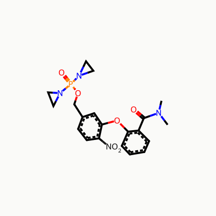 CN(C)C(=O)c1ccccc1Oc1cc(COP(=O)(N2CC2)N2CC2)ccc1[N+](=O)[O-]